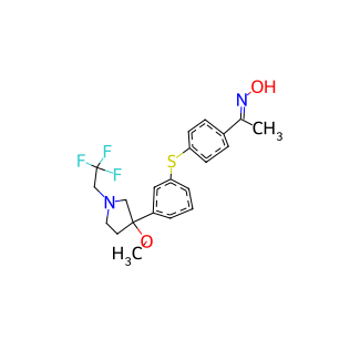 COC1(c2cccc(Sc3ccc(C(C)=NO)cc3)c2)CCN(CC(F)(F)F)C1